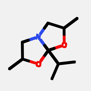 CC1CN2CC(C)OC2(C(C)C)O1